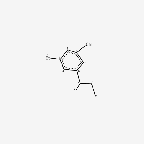 CCc1cc(C#N)cc([C](C)CF)c1